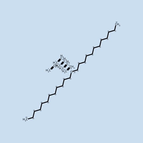 C=C.C=C.C=C.C=C.C=C.CCCCCCCCCCCCOCCCCCCCCCCCC